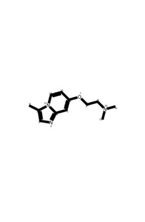 Cc1cnc2cc(OCCN(C)C)ccn12